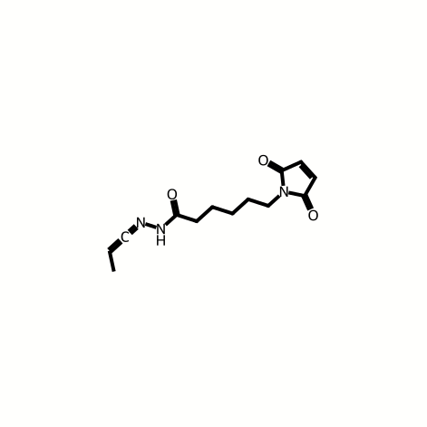 CC=C=NNC(=O)CCCCCN1C(=O)C=CC1=O